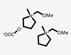 COC[N+]1(C)CCCC1.COC[N+]1(C)CCCC1.O=C([O-])[O-]